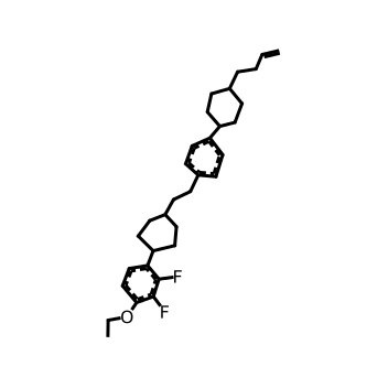 C=CCCC1CCC(c2ccc(CCC3CCC(c4ccc(OCC)c(F)c4F)CC3)cc2)CC1